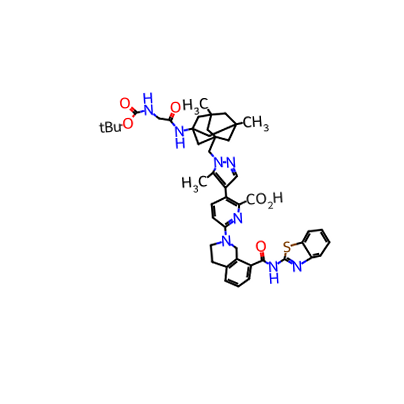 Cc1c(-c2ccc(N3CCc4cccc(C(=O)Nc5nc6ccccc6s5)c4C3)nc2C(=O)O)cnn1CC12CC3(C)CC(C)(C1)CC(NC(=O)CNC(=O)OC(C)(C)C)(C3)C2